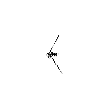 CCCCCCCCCCCCCCCCCC(=O)[PH-](OCC[N+](C)(C)C)C(=O)CCCCCCCCCCCCCCCCC